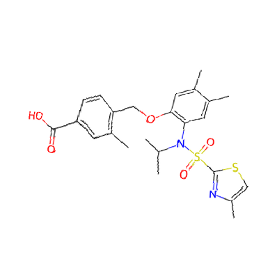 Cc1csc(S(=O)(=O)N(c2cc(C)c(C)cc2OCc2ccc(C(=O)O)cc2C)C(C)C)n1